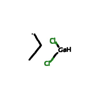 [CH2]CC.[Cl][GaH][Cl]